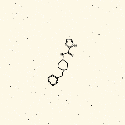 O=C(NC1CCN(Cc2ccccc2)CC1)c1ncc[nH]1